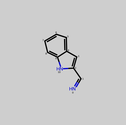 N=Cc1cc2ccccc2[nH]1